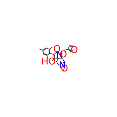 CON1CCC2(CC1)C(O)=C(c1c(C)cc(C)cc1C)C(=O)N2OCc1ccoc1